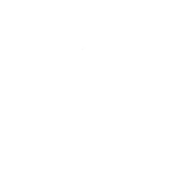 [CH2]OCc1cccc(Oc2ccccc2)c1